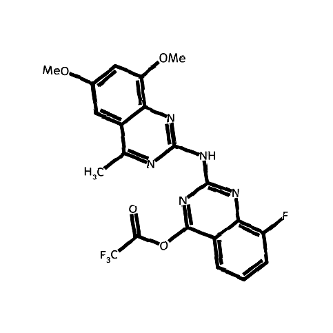 COc1cc(OC)c2nc(Nc3nc(OC(=O)C(F)(F)F)c4cccc(F)c4n3)nc(C)c2c1